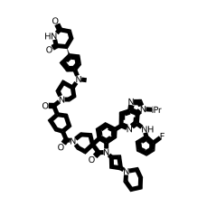 CC(C)n1cnc2cc(-c3ccc4c(c3)N(C3CC(N5CCCCC5)C3)C(=O)C43CCN(C(=O)C4CCC(C(=O)N5CCC(N(C)c6ccc([C@H]7CCC(=O)NC7=O)cc6)CC5)CC4)CC3)nc(Nc3ccccc3F)c21